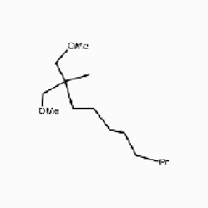 COCC(C)(CCCCCC(C)C)COC